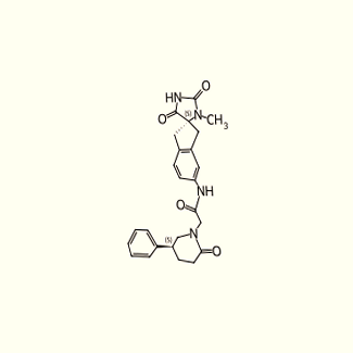 CN1C(=O)NC(=O)[C@@]12Cc1ccc(NC(=O)CN3C[C@H](c4ccccc4)CCC3=O)cc1C2